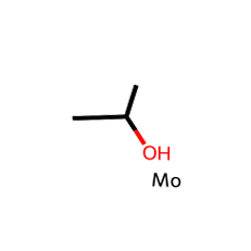 CC(C)O.[Mo]